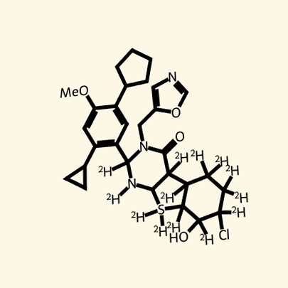 [2H]N1C2C([2H])(C(=O)N(Cc3cnco3)C1([2H])c1cc(C3CCCC3)c(OC)cc1C1CC1)C1([2H])C([2H])([2H])C([2H])([2H])C([2H])(Cl)C([2H])(O)C1([2H])S2([2H])[2H]